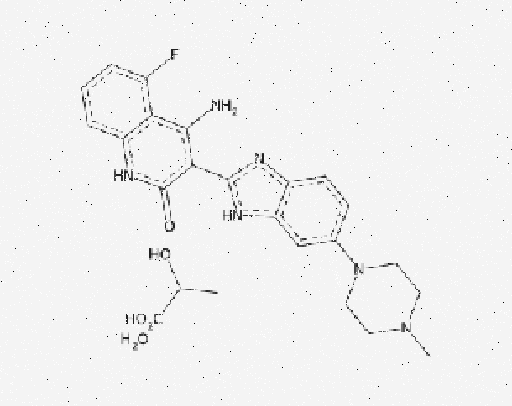 CC(O)C(=O)O.CN1CCN(c2ccc3nc(-c4c(N)c5c(F)cccc5[nH]c4=O)[nH]c3c2)CC1.O